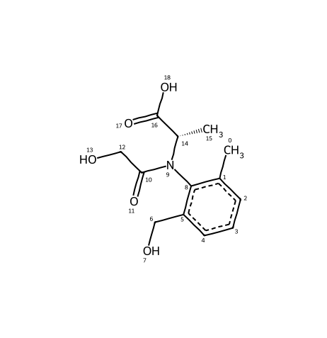 Cc1cccc(CO)c1N(C(=O)CO)[C@@H](C)C(=O)O